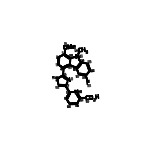 COc1ccc(-c2nc(-c3cccc(C(=O)O)n3)cs2)c2c3cc(F)ccc3n(C)c12